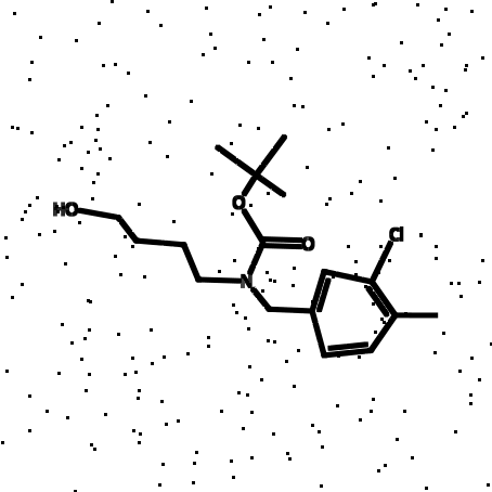 Cc1ccc(CN(CCCCO)C(=O)OC(C)(C)C)cc1Cl